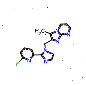 Cc1c(Cn2ccnc2-c2cccc(F)n2)nc2ncccn12